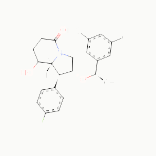 C[C@@H](O[C@H]1CN2C(=O)CCC(O)[C@H]2[C@@H]1c1ccc(F)cc1)c1cc(C(F)(F)F)cc(C(F)(F)F)c1